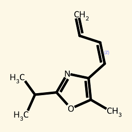 C=C/C=C\c1nc(C(C)C)oc1C